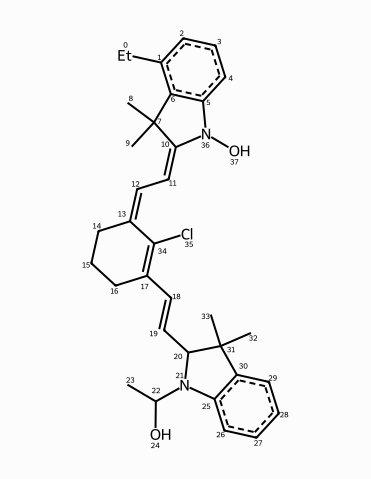 CCc1cccc2c1C(C)(C)C(=CC=C1CCCC(C=CC3N(C(C)O)c4ccccc4C3(C)C)=C1Cl)N2O